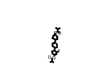 C=C(C)C(=O)Oc1ccc(C2=CC=C(c3ccc(OC(=O)C(=C)C)cc3F)CC2)cc1